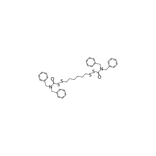 O=C(SSCCCCCCSSC(=O)N(Cc1ccccc1)Cc1ccccc1)N(Cc1ccccc1)Cc1ccccc1